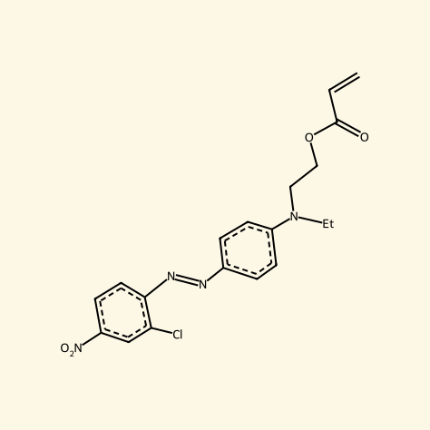 C=CC(=O)OCCN(CC)c1ccc(/N=N/c2ccc([N+](=O)[O-])cc2Cl)cc1